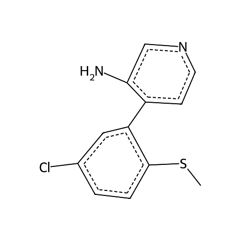 CSc1ccc(Cl)cc1-c1ccncc1N